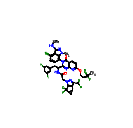 CSNc1nn(C)c2c(-n3c(C(Cc4cc(F)cc(F)c4)NC(=O)Cn4nc(C(F)F)c5c4C(F)(F)C4CC54)nc4nc(OCCC(F)(F)C(F)(F)F)ccc4c3=O)ccc(Cl)c12